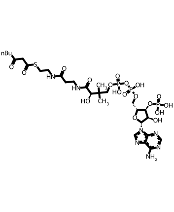 CCCCC(=O)CC(=O)SCCNC(=O)CCNC(=O)[C@H](O)C(C)(C)COP(=O)(O)OP(=O)(O)OC[C@H]1O[C@@H](n2cnc3c(N)ncnc32)[C@H](O)[C@@H]1OP(=O)(O)O